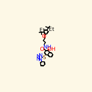 CCC(C)(C)c1ccc(OCCCCNC(=O)c2cc(Sc3nnnn3-c3ccccc3)c3ccccc3c2O)c(C(C)(C)CC)c1